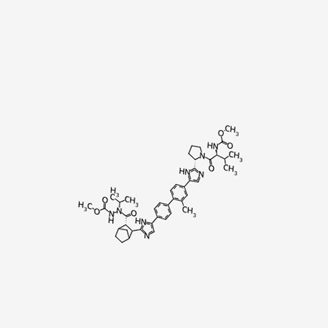 COC(=O)N[C@H](C(=O)N1CCC[C@H]1c1ncc(-c2ccc(-c3ccc(-c4cnc(C5C6CCC(C6)[C@@H]5C(=O)N(NC(=O)OC)C(C)C)[nH]4)cc3)c(C)c2)[nH]1)C(C)C